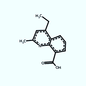 CCc1cc(C)nc2c(C(=O)O)cccc12